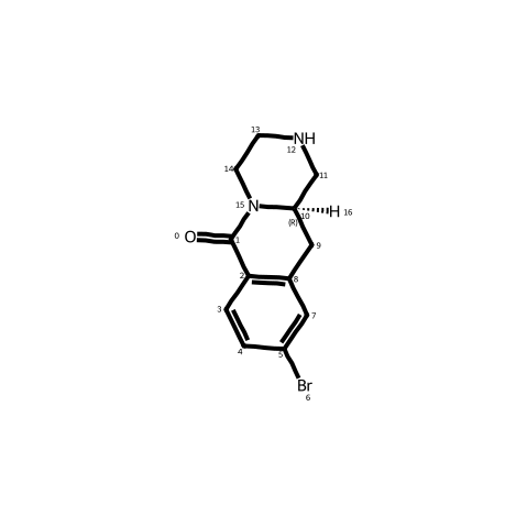 O=C1c2ccc(Br)cc2C[C@@H]2CNCCN12